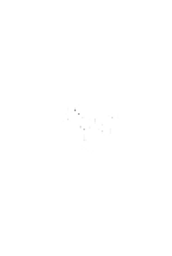 CC(=O)NCC(=O)N[C@@H](CCC(=O)O)C(=O)N[C@@H](CC(=O)O)C(=O)NC(C)(C)C